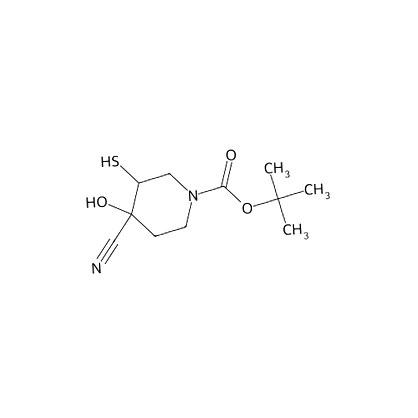 CC(C)(C)OC(=O)N1CCC(O)(C#N)C(S)C1